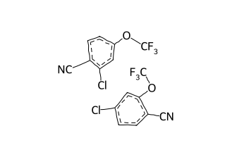 N#Cc1ccc(Cl)cc1OC(F)(F)F.N#Cc1ccc(OC(F)(F)F)cc1Cl